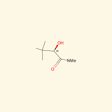 CNC(=O)[C@H](O)C(C)(C)C